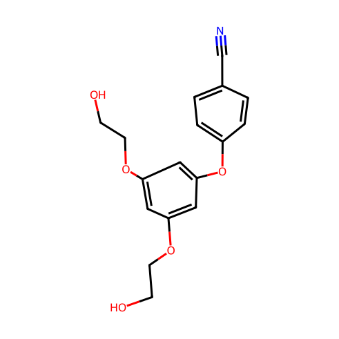 N#Cc1ccc(Oc2cc(OCCO)cc(OCCO)c2)cc1